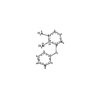 Nc1ccnc(Cc2cccnc2)c1N